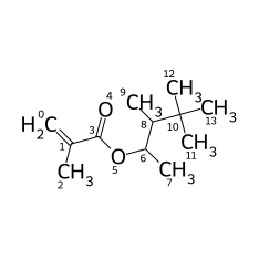 C=C(C)C(=O)OC(C)C(C)C(C)(C)C